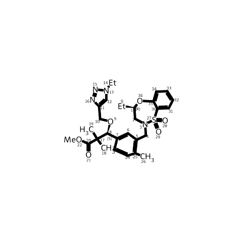 CC[C@@H]1CN(Cc2cc([C@H](OCc3cn(CC)nn3)C(C)(C)C(=O)OC)ccc2C)S(=O)(=O)c2ccccc2O1